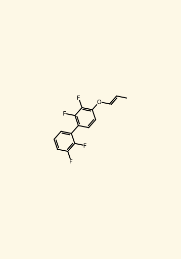 C/C=C/Oc1ccc(-c2cccc(F)c2F)c(F)c1F